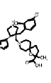 CC1(C(=O)O)CCC2(CCN(C[C@]3(Cc4ccc(Cl)cc4Cl)CNC[C@@H]3c3ccsc3)CC2)O1